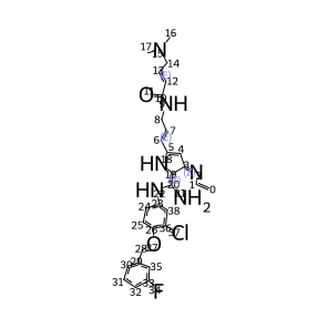 C=C/N=C1C=C(/C=C/CNC(=O)/C=C/CN(C)C)NC/1=C(/N)Nc1ccc(OCc2cccc(F)c2)c(Cl)c1